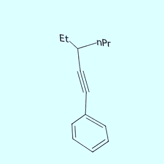 CCCC(C#Cc1ccccc1)CC